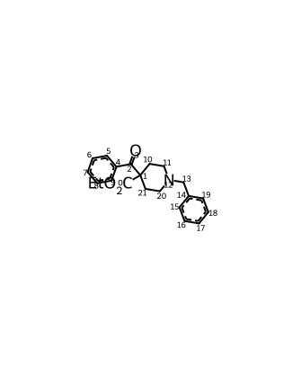 CCOC(=O)C1(C(=O)c2ccccc2)CCN(Cc2ccccc2)CC1